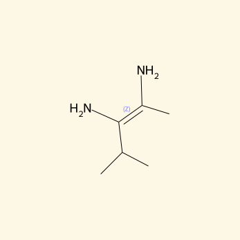 C/C(N)=C(/N)C(C)C